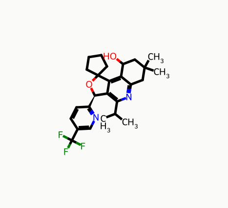 CC(C)c1nc2c(c3c1[C@@H](c1ccc(C(F)(F)F)cn1)OC31CCCC1)C(O)CC(C)(C)C2